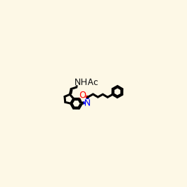 CC(=O)NC/C=C1/CCc2ccc3nc(CCCCc4ccccc4)oc3c21